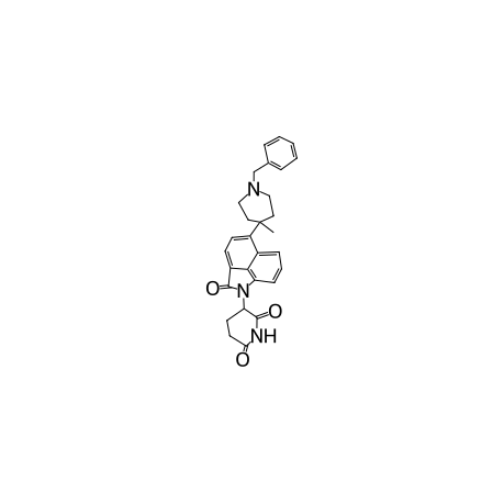 CC1(c2ccc3c4c(cccc24)N(C2CCC(=O)NC2=O)C3=O)CCN(Cc2ccccc2)CC1